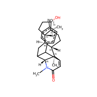 CN1C(=O)C=C2C(c3ccc([N+](=O)[O-])cc3)C3C[C@H]4[C@@H]5CC[C@H](O)[C@@]5(C)CC[C@@H]4[C@]2(C)[C@@H]31